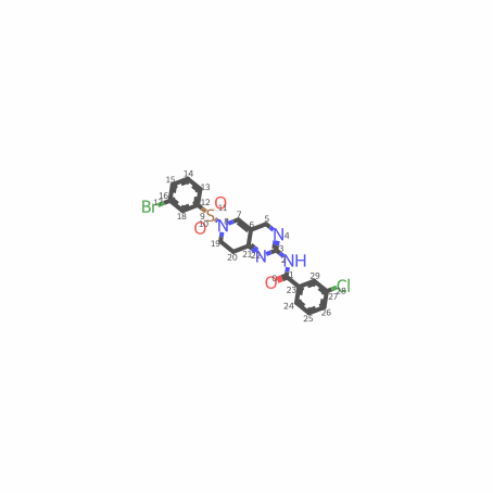 O=C(NC1=NCC2=CN(S(=O)(=O)c3cccc(Br)c3)CCC2=N1)c1cccc(Cl)c1